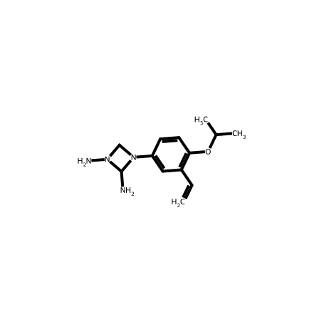 C=Cc1cc(N2CN(N)C2N)ccc1OC(C)C